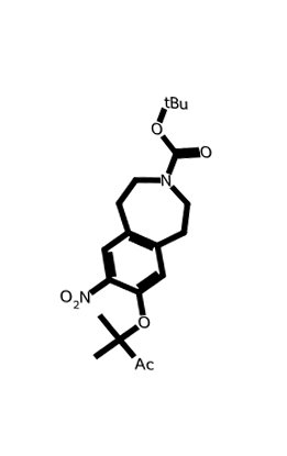 CC(=O)C(C)(C)Oc1cc2c(cc1[N+](=O)[O-])CCN(C(=O)OC(C)(C)C)CC2